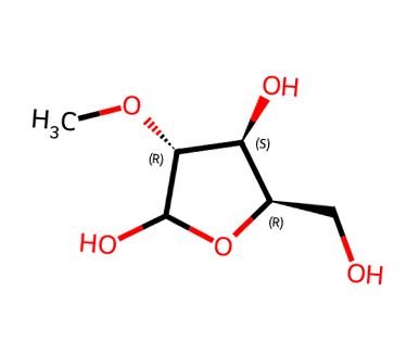 CO[C@H]1C(O)O[C@H](CO)[C@@H]1O